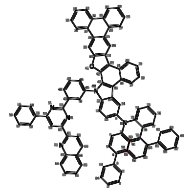 c1ccc(-c2ccc(N(c3ccc4c(c3)c3c5ccccc5c5c6cc7c8ccccc8c8ccccc8c7cc6oc5c3n4-c3cccc(-c4nc(-c5ccccc5)cc(-c5ccc6ccccc6n5)n4)c3)c3ccccc3-c3ccccc3-c3ccccc3)cc2)cc1